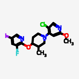 COc1cc(N2CCC(Oc3ncc(I)cc3F)C(C)C2)c(Cl)cn1